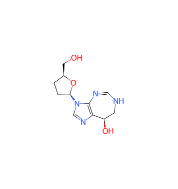 OC[C@@H]1CC[C@H](n2cnc3c2N=CNC[C@H]3O)O1